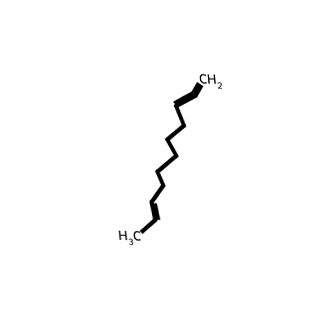 C=C=CCCCCCC=CC